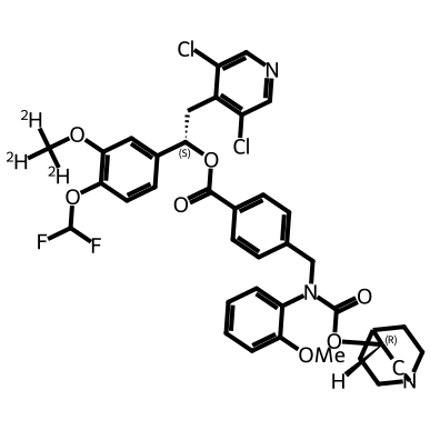 [2H]C([2H])([2H])Oc1cc([C@H](Cc2c(Cl)cncc2Cl)OC(=O)c2ccc(CN(C(=O)O[C@H]3CN4CCC3CC4)c3ccccc3OC)cc2)ccc1OC(F)F